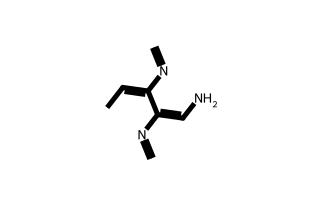 C=NC(=C/C)/C(=C\N)N=C